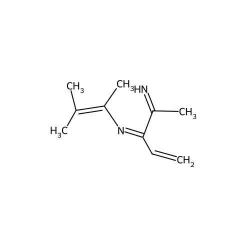 C=C/C(=N/C(C)=C(C)C)C(C)=N